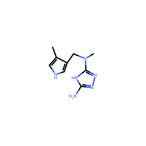 Cc1c[nH]cc1CN(C)c1nnc(N)[nH]1